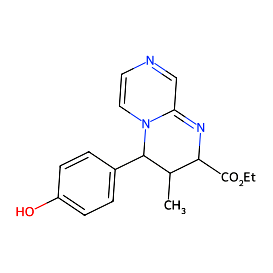 CCOC(=O)C1N=C2C=NC=CN2C(c2ccc(O)cc2)C1C